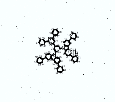 C=C(/C=C\c1c(C)c2cc(-c3ccccc3)ccc2n1-c1cc(-c2cc(-c3ccccc3)nc(-c3ccccc3)n2)cc(-n2c3ccc(-c4ccccc4)cc3c3cc(-c4ccccc4)ccc32)n1)c1ccccc1